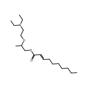 CCCCCCCC=CC(=O)OCC(C)OCCN(CC)CC